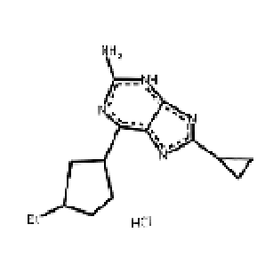 CCC1CCC(c2nc(N)[nH]c3nc(C4CC4)nc2-3)C1.Cl